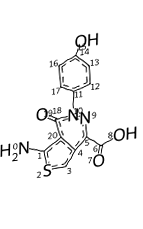 Nc1scc2c(C(=O)O)nn(-c3ccc(O)cc3)c(=O)c12